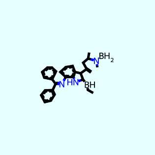 BN(C)C(C)CC(=C)C1c2cccc(N=C(c3ccccc3)c3ccccc3)c2NC1BCC